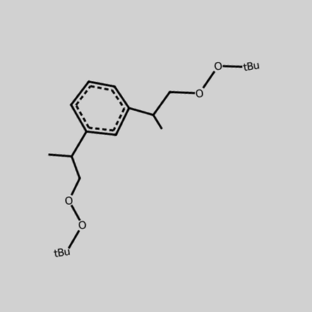 CC(COOC(C)(C)C)c1cccc(C(C)COOC(C)(C)C)c1